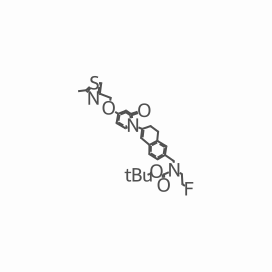 Cc1nc(COc2ccn(C3=Cc4ccc(CN(CCF)C(=O)OC(C)(C)C)cc4CC3)c(=O)c2)cs1